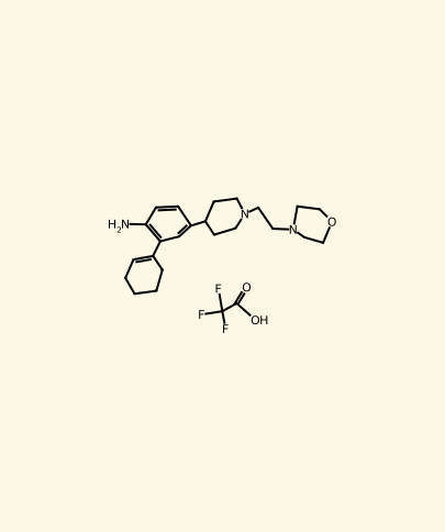 Nc1ccc(C2CCN(CCN3CCOCC3)CC2)cc1C1=CCCCC1.O=C(O)C(F)(F)F